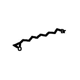 BrCCCCCCCCCC1CO1